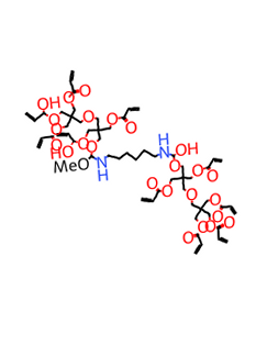 C=CC(=O)OCC(COCC(COC(=O)C=C)(COC(=O)C=C)COC(O)NCCCCCCNC(OC)OCC(COCC(COC(=O)C=C)(COC(=O)C=C)COC(O)C=C)(COC(=O)C=C)CO[C@@H](O)C=C)(COC(=O)C=C)COC(=O)C=C